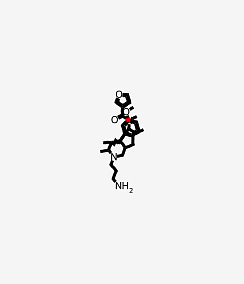 CCC(C1CCC2(C)C(C)N(CCCN)CC3Cc4ccc(OC)cc4C312)N(C)C(=O)c1ccoc1